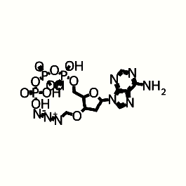 [N-]=[N+]=NCOC1CC(n2cnc3c(N)ncnc32)OC1COP(=O)(O)OP(=O)(O)OP(=O)(O)O